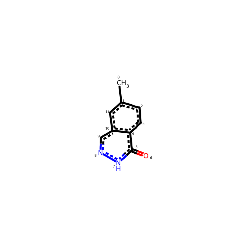 Cc1ccc2c(=O)[nH]ncc2c1